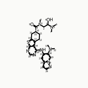 CN(CC(O)N(C)C)C(=O)[C@H]1CCc2c(sc3ncnc(Nc4cc5ccnn5cc4N(C)C)c23)C1